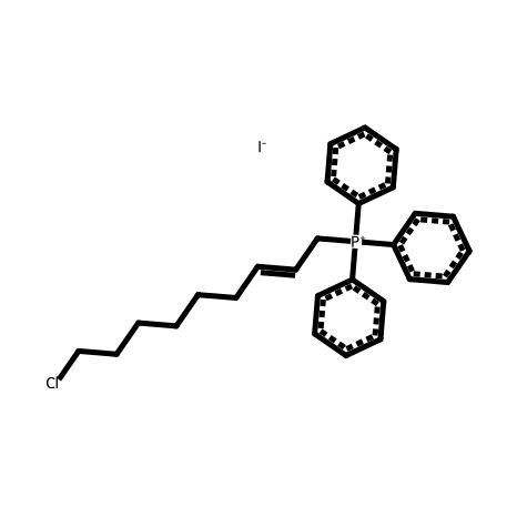 ClCCCCCCC=CC[P+](c1ccccc1)(c1ccccc1)c1ccccc1.[I-]